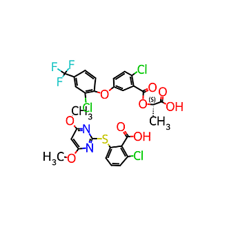 COc1cc(OC)nc(Sc2cccc(Cl)c2C(=O)O)n1.C[C@H](OC(=O)c1cc(Oc2ccc(C(F)(F)F)cc2Cl)ccc1Cl)C(=O)O